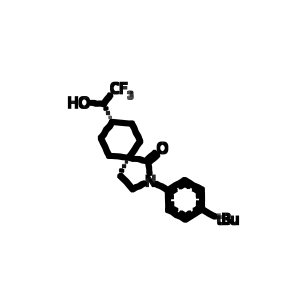 CC(C)(C)c1ccc(N2CC[C@]3(CC[C@@H](C(O)C(F)(F)F)CC3)C2=O)cc1